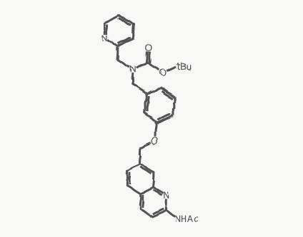 CC(=O)Nc1ccc2ccc(COc3cccc(CN(Cc4ccccn4)C(=O)OC(C)(C)C)c3)cc2n1